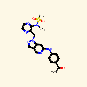 CNC(=O)c1ccc(Nc2cc3c(cn2)cnn3Cc2nccnc2N(C)S(C)(=O)=O)cc1